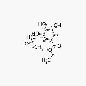 CC(C)=O.CCOC(=O)c1cc(O)c(O)c(O)c1